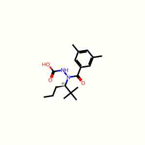 CCC[C@@H](N(NC(=O)O)C(=O)c1cc(C)cc(C)c1)C(C)(C)C